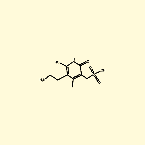 Cc1c(CCN)c(O)[nH]c(=O)c1CS(=O)(=O)O